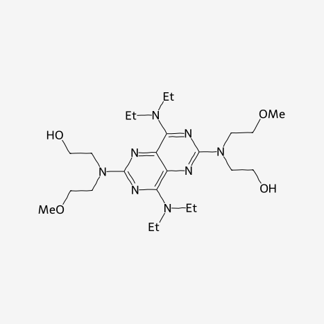 CCN(CC)c1nc(N(CCO)CCOC)nc2c(N(CC)CC)nc(N(CCO)CCOC)nc12